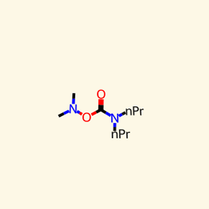 CCCN(CCC)C(=O)ON(C)C